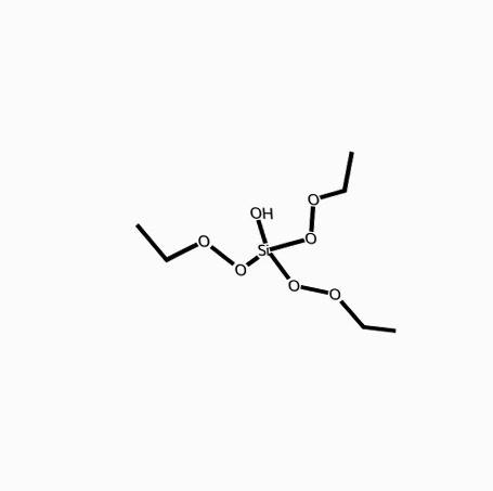 CCOO[Si](O)(OOCC)OOCC